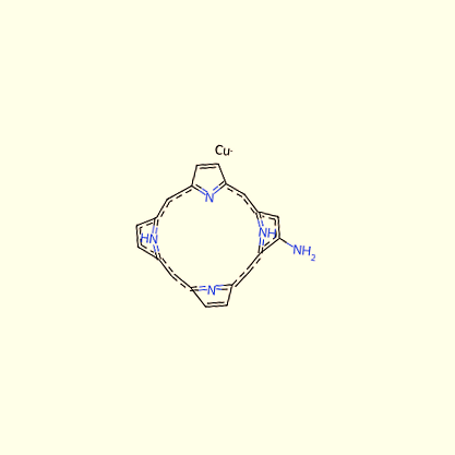 Nc1cc2cc3nc(cc4ccc(cc5nc(cc1[nH]2)C=C5)[nH]4)C=C3.[Cu]